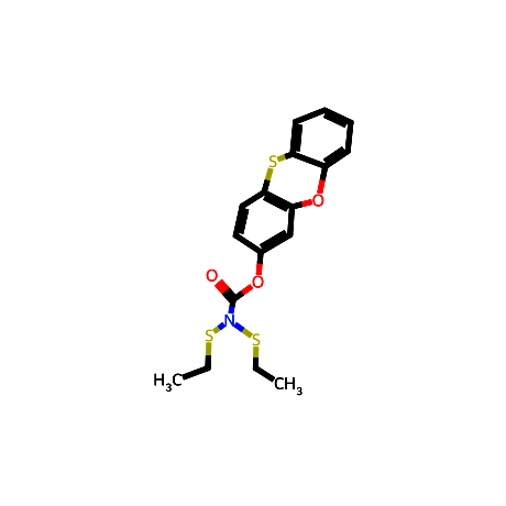 CCSN(SCC)C(=O)Oc1ccc2c(c1)Oc1ccccc1S2